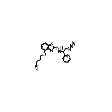 N#CCCCOc1cccc2sc(N/N=C(\CN=[N+]=[N-])c3ccccn3)nc12